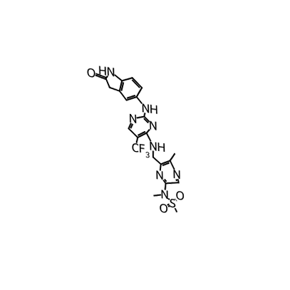 Cc1ncc(N(C)S(C)(=O)=O)nc1CNc1nc(Nc2ccc3c(c2)CC(=O)N3)ncc1C(F)(F)F